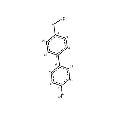 CC(C)Cc1ccc(-c2ccc(F)cc2)cc1